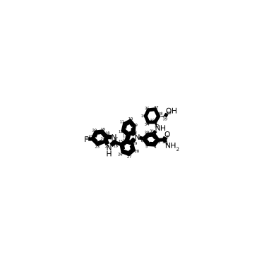 NC(=O)c1ccc(-n2c3ccccc3c3c(-c4nc5ccc(F)cc5[nH]4)cccc32)cc1N[C@H]1CCCC[C@@H]1CO